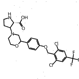 O=C(O)[C@H]1NCCC1N1CCOC(c2ccc(OCc3c(Cl)cc(C(F)(F)F)cc3Cl)cc2)C1